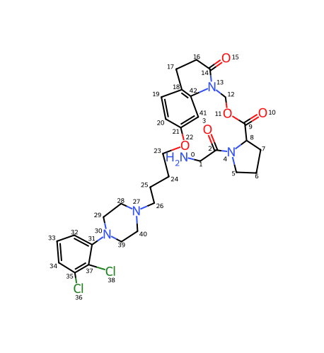 NCC(=O)N1CCCC1C(=O)OCN1C(=O)CCc2ccc(OCCCCN3CCN(c4cccc(Cl)c4Cl)CC3)cc21